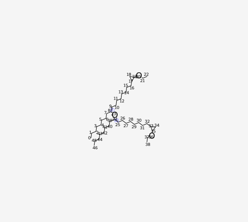 CCCCCCCC/C(=C/CCCCCCCC1CC1OCC)O/C(=C\CCCCCCCC1CC1OCC)CCCCCCCC